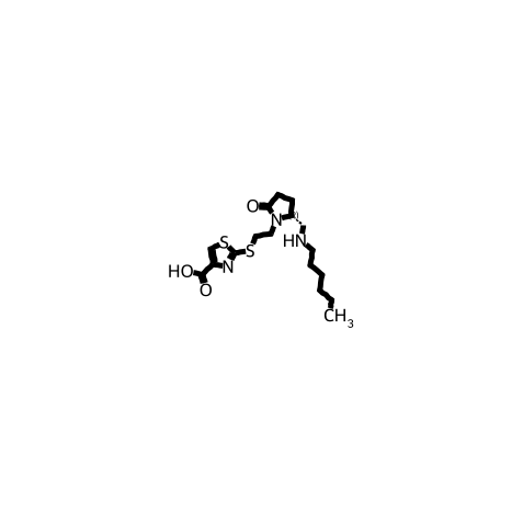 CCCCCCNC[C@H]1CCC(=O)N1CCSc1nc(C(=O)O)cs1